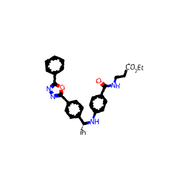 CCOC(=O)CCNC(=O)c1ccc(N[C@@H](c2ccc(-c3nnc(-c4ccccc4)o3)cc2)C(C)C)cc1